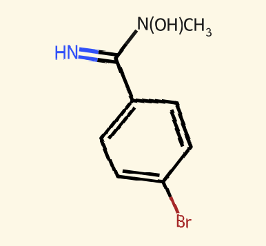 CN(O)C(=N)c1ccc(Br)cc1